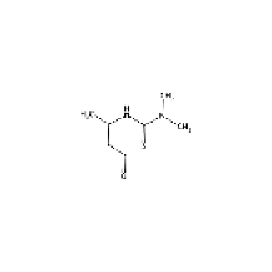 CC(CC=O)NC(=S)N(C)C